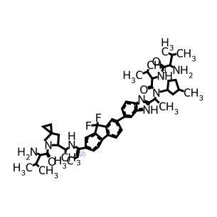 C/C=C(\NC(C)C1CC2(CC2)CN1C(=O)C(N)C(C)C)c1ccc2c(c1)C(F)(F)c1cc(-c3ccc4nc(C(C)N(C(=O)C(NC(=O)C(N)C(C)C)C(C)C)C5CCC(C)C5)[nH]c4c3)ccc1-2